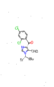 CCC(C)C(CC)n1cnc(C(=O)c2ccc(Cl)cc2Cl)c1C=O